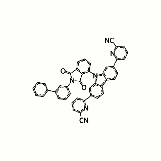 N#Cc1cccc(-c2ccc3c4ccc(-c5cccc(C#N)n5)cc4n(-c4cccc5c4C(=O)N(c4cccc(-c6ccccc6)c4)C5=O)c3c2)n1